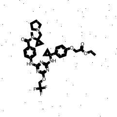 CCOC(=O)COc1ccc(C2(Nc3nc(Nc4ccc(C(=O)N(C)C5(CN6CCCC6)CC5)cc4)nc(OCC(F)(F)F)n3)CC2)cc1